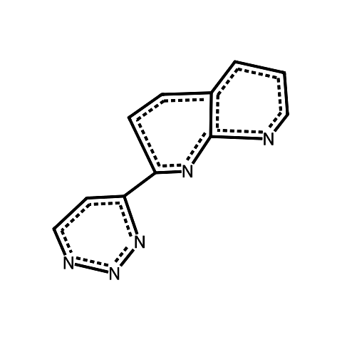 c1cnc2nc(-c3ccnnn3)ccc2c1